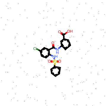 O=C(O)c1cccc(NC(=O)c2cc(Cl)ccc2NS(=O)(=O)c2ccccc2)c1